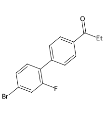 CCC(=O)c1ccc(-c2ccc(Br)cc2F)cc1